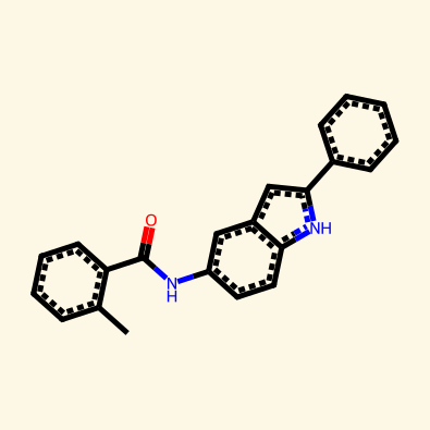 Cc1ccccc1C(=O)Nc1ccc2[nH]c(-c3ccccc3)cc2c1